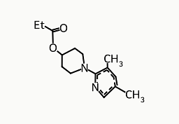 CCC(=O)OC1CCN(c2ncc(C)cc2C)CC1